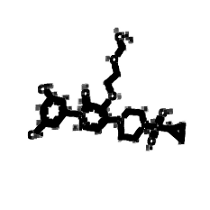 CCOCCOc1c(N2CCN(S(=O)(=O)C3CC3)CC2)cnn(-c2cc(Cl)cc(Cl)c2)c1=O